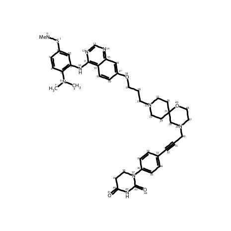 CNSc1ccc(N(C)C)c(Nc2ncnc3cc(OCCCN4CCC5(CC4)CN(CC#Cc4ccc(N6CCC(=O)NC6=O)cc4)CCO5)ccc23)c1